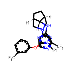 CC(C)n1nc(N[C@@H]2[C@@H]3CC[C@H]2CN(c2ccnc(C(F)(F)F)c2)C3)nc1Oc1cccc(C(F)(F)F)c1